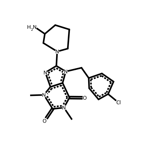 Cn1c(=O)c2c(nc(N3CCCC(N)C3)n2Cc2ccc(Cl)cc2)n(C)c1=O